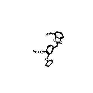 CNc1cccc2nc(Cc3ccc(OC)c(OC4CCCC4)c3)oc12